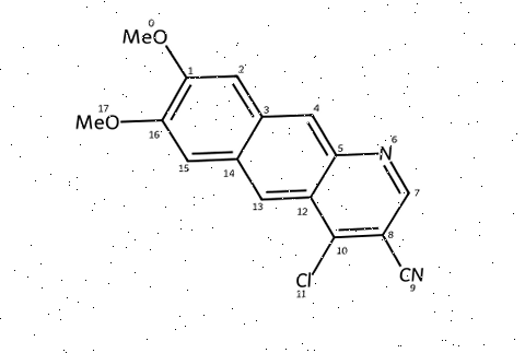 COc1cc2cc3ncc(C#N)c(Cl)c3cc2cc1OC